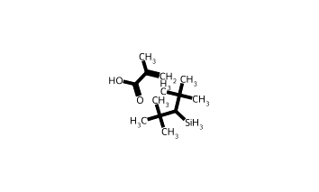 C=C(C)C(=O)O.CC(C)(C)C([SiH3])C(C)(C)C